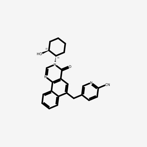 N#Cc1ccc(Cc2cc3c(=O)n([C@H]4CCCC[C@@H]4O)cnc3c3ccccc23)cn1